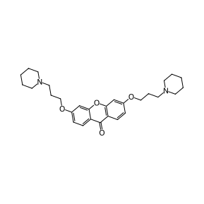 O=c1c2ccc(OCCCN3CCCCC3)cc2oc2cc(OCCCN3CCCCC3)ccc12